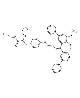 CCOC(=O)C(Cc1ccc(OCCOC2c3cc(-c4ccccc4)ccc3C=Cc3c(CC)cc(-c4ccccc4)cc32)cc1)OCC